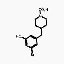 O=C(O)N1CCC(Cc2cc(O)cc(Br)c2)CC1